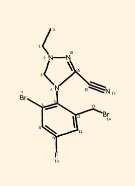 [CH2]CN1CN(c2c(Br)cc(F)cc2CBr)C(C#N)=N1